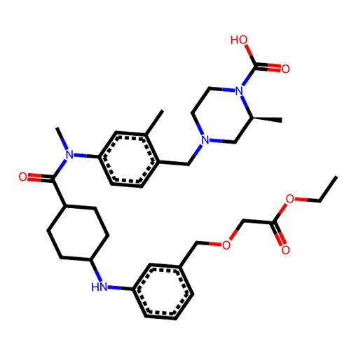 CCOC(=O)COCc1cccc(NC2CCC(C(=O)N(C)c3ccc(CN4CCN(C(=O)O)[C@@H](C)C4)c(C)c3)CC2)c1